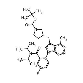 Cc1cncc2c1c(C[C@@H]1CCN(C(=O)OC(C)(C)C)C1)cn2-c1ccc(F)cc1C(=O)N(C(C)C)C(C)C